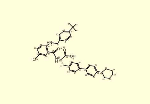 CC(C)(C)c1ccc(CNc2ccc(Cl)cc2C(=O)N[C@@H](Cc2ccc(-c3ccc(C4CCCCC4)cc3)cc2)C(=O)O)cc1